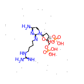 N=C(N)NCCCC/N=c1\nc(N)ccn1[C@H]1C[C@H](OP(=O)(O)O)[C@@H](COP(=O)(O)O)O1